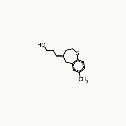 Cc1ccc2c(c1)CC(=CCCO)CCS2